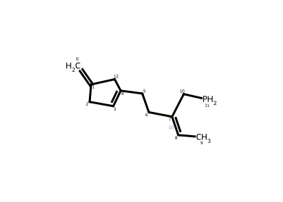 C=C1CC=C(CC/C(=C/C)CP)C1